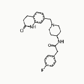 O=C1CCc2ccc(CN3CCC(NC(=O)Cc4ccc(F)cc4)CC3)cc2N1